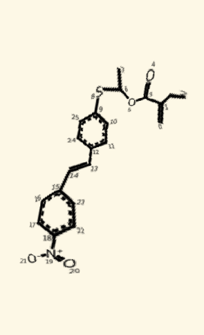 C=C(C)C(=O)OC(C)Sc1ccc(C=Cc2ccc([N+](=O)[O-])cc2)cc1